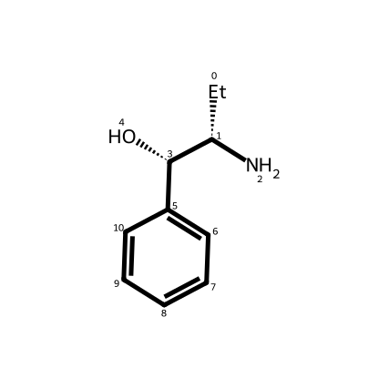 CC[C@H](N)[C@@H](O)c1ccccc1